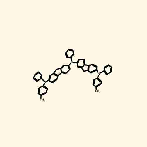 Cc1ccc(N(c2ccccc2)c2ccc3c(c2)Cc2cc(N(c4ccccc4)c4ccc5c(c4)Cc4cc(N(c6ccccc6)c6ccc(C)cc6)ccc4-5)ccc2-3)cc1